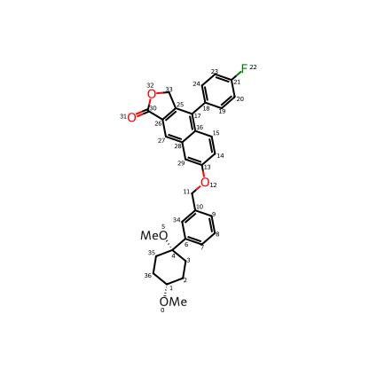 CO[C@H]1CC[C@](OC)(c2cccc(COc3ccc4c(-c5ccc(F)cc5)c5c(cc4c3)C(=O)OC5)c2)CC1